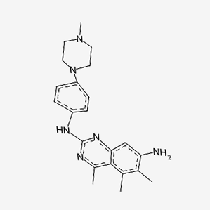 Cc1c(N)cc2nc(Nc3ccc(N4CCN(C)CC4)cc3)nc(C)c2c1C